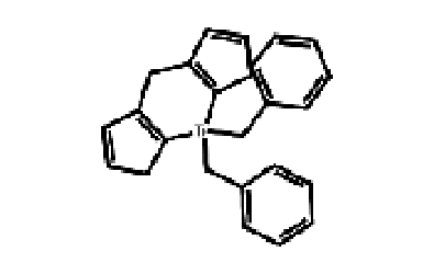 C1=CC2=[C](C1)[Ti]([CH2]c1ccccc1)([CH2]c1ccccc1)[C]1=C(C=CC1)C2